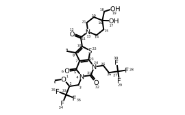 COC(Cn1c(=O)c2c(C)c(C(=O)N3CCC(O)(CO)CC3)sc2n(CCC(F)(F)F)c1=O)C(F)(F)F